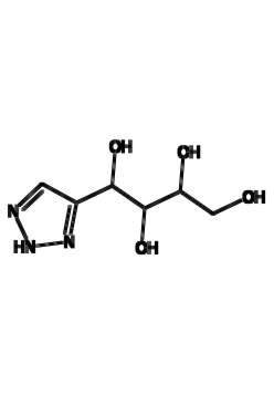 OCC(O)C(O)C(O)c1cn[nH]n1